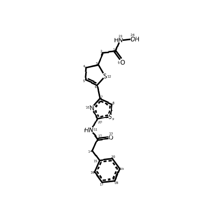 O=C(CC1CC=C(c2csc(NC(=O)Cc3ccccc3)n2)S1)NO